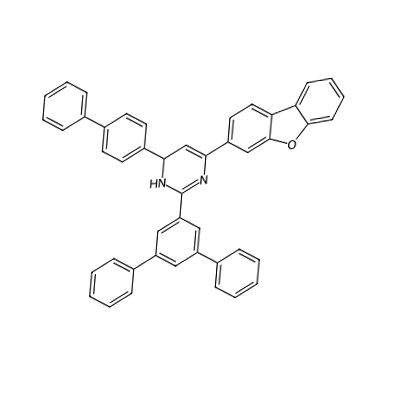 C1=C(c2ccc3c(c2)oc2ccccc23)N=C(c2cc(-c3ccccc3)cc(-c3ccccc3)c2)NC1c1ccc(-c2ccccc2)cc1